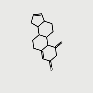 C=C1CC(=O)C=C2CCC3C4CC=CC4CCC3C12